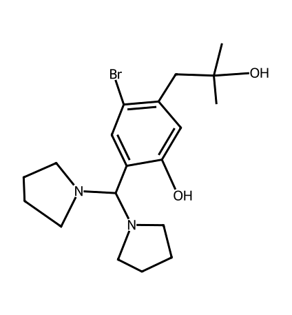 CC(C)(O)Cc1cc(O)c(C(N2CCCC2)N2CCCC2)cc1Br